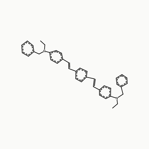 CCN(Cc1ccccc1)c1ccc(C=Cc2ccc(C=Cc3ccc(N(CC)Cc4ccccc4)cc3)cc2)cc1